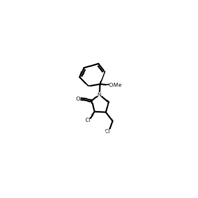 COC1(N2CC(CCl)C(Cl)C2=O)C=CC=CC1